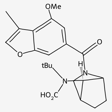 COc1cc(C(=O)N2CC3CCC2[C@@H]3N(C(=O)O)C(C)(C)C)cc2occ(C)c12